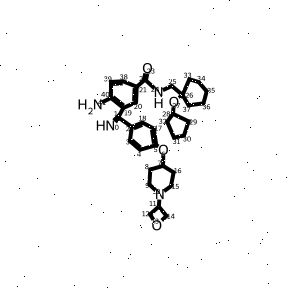 N=C(c1ccc(OC2CCN(C3COC3)CC2)cc1)c1cc(C(=O)NCC2(OC3CCCC3)CCCCC2)ccc1N